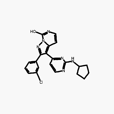 Oc1nccc2c(-c3ccnc(NC4CCCC4)n3)c(-c3cccc(Cl)c3)nn12